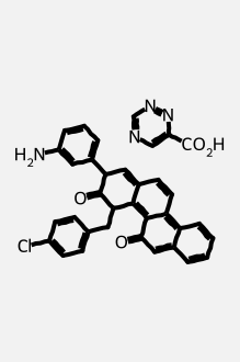 Nc1cccc(C2C=c3ccc4c(c3C(Cc3ccc(Cl)cc3)C2=O)C(=O)C=c2ccccc2=4)c1.O=C(O)c1cncnn1